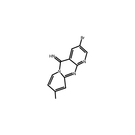 Cc1ccn2c(=N)c3cc(Br)cnc3nc2c1